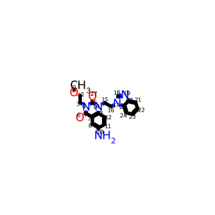 COCCn1c(=O)c2cc(N)ccc2n(CCn2cnc3ccccc32)c1=O